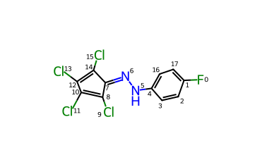 Fc1ccc(NN=C2C(Cl)=C(Cl)C(Cl)=C2Cl)cc1